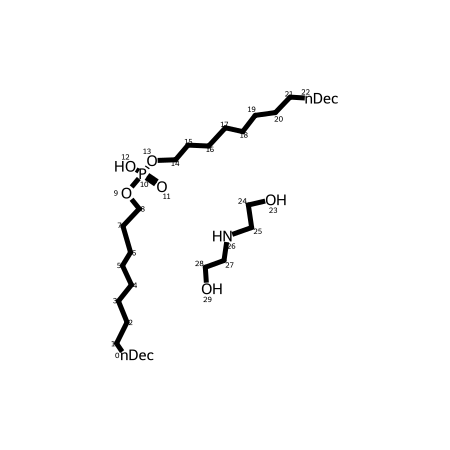 CCCCCCCCCCCCCCCCCCOP(=O)(O)OCCCCCCCCCCCCCCCCCC.OCCNCCO